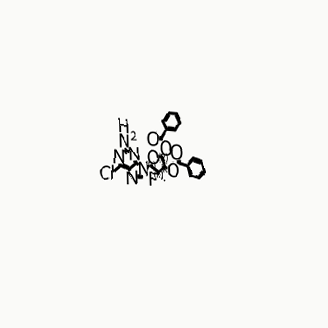 C[C@@]1(F)[C@H](OC(=O)c2ccccc2)[C@@H](OC(=O)c2ccccc2)O[C@H]1n1cnc2c(Cl)nc(N)nc21